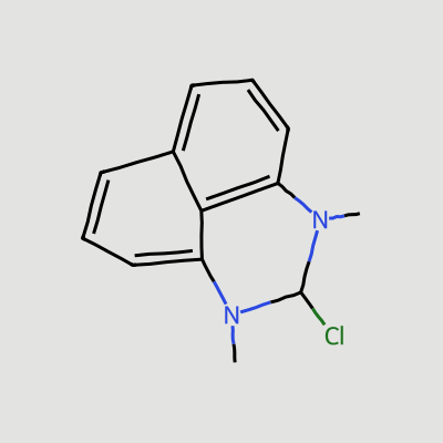 CN1c2cccc3cccc(c23)N(C)C1Cl